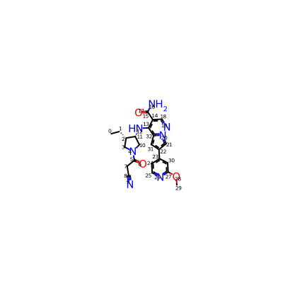 CC[C@H]1CN(C(=O)CC#N)C[C@H]1Nc1c(C(N)=O)cnn2cc(-c3ccnc(OC)c3)cc12